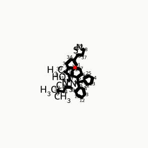 CC(C)(C)Cc1cn(C(c2ccccc2)(c2ccccc2)c2ccccc2)c(CC(C)(O)c2ccc(-c3ccns3)cc2)n1